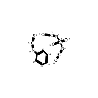 O=C=NS(=O)(=O)N=C=O.S=C=Nc1ccccc1